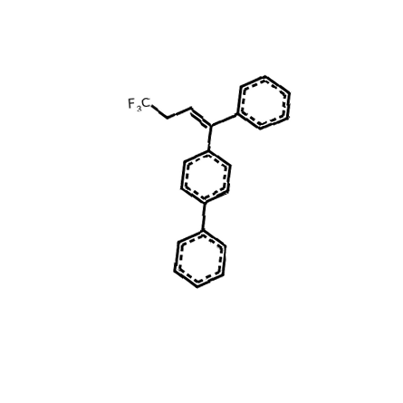 FC(F)(F)CC=C(c1ccccc1)c1ccc(-c2ccccc2)cc1